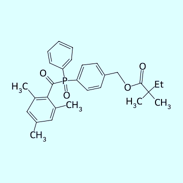 CCC(C)(C)C(=O)OCc1ccc(P(=O)(C(=O)c2c(C)cc(C)cc2C)c2ccccc2)cc1